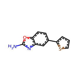 Nc1nc2cc(-c3cccs3)ccc2o1